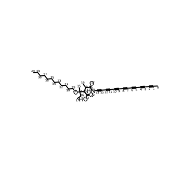 CC#CC#CC#CC#CC#CC#CC#CNC(=O)C(C)C(C(=O)O)C(C)(CC)OCCCCCCCCCCCC